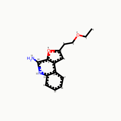 CCOCCc1cc2c(o1)c(N)nc1ccccc12